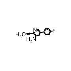 CC#Cc1ncc(-c2ccc(F)cc2)cc1N